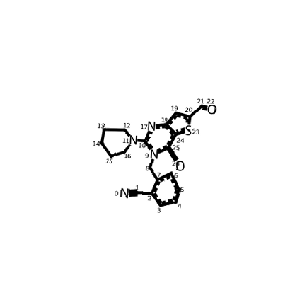 N#Cc1ccccc1Cn1c(N2CCCCC2)nc2cc(C=O)sc2c1=O